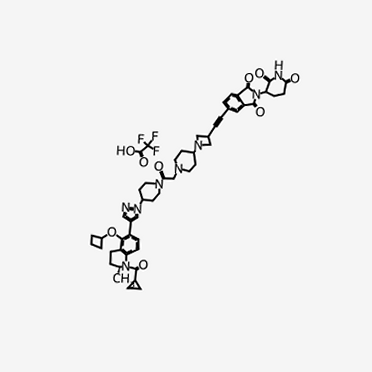 C[C@H]1CCc2c(ccc(-c3cnn(C4CCN(C(=O)CN5CCC(N6CC(C#Cc7ccc8c(c7)C(=O)N(C7CCC(=O)NC7=O)C8=O)C6)CC5)CC4)c3)c2OC2CCC2)N1C(=O)C1CC1.O=C(O)C(F)(F)F